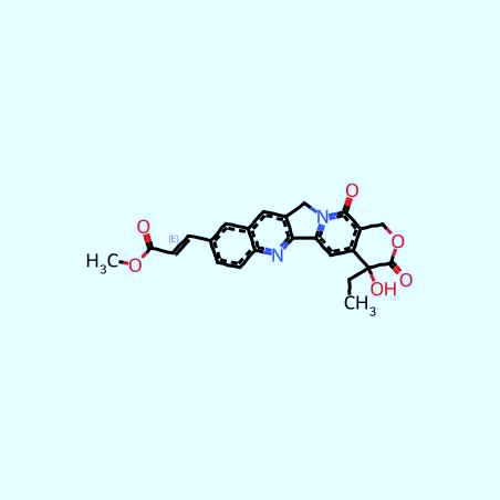 CCC1(O)C(=O)OCc2c1cc1n(c2=O)Cc2cc3cc(/C=C/C(=O)OC)ccc3nc2-1